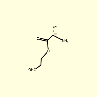 CC(C)[C@H](N)C(=O)OCCC=O